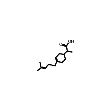 CC(C)=CCCC1=CCC(C(C)C(=O)O)CC1